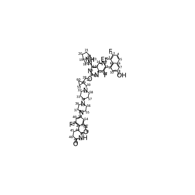 CCc1c(F)ccc2cc(O)cc(-c3ncc4c(N5CC6CCC(C5)N6)nc(OCC5(CN6CCC(N7CCN(c8cc(F)c(C9CCC(=O)NC9=O)c(F)c8)CC7)CC6)CC5)nc4c3F)c12